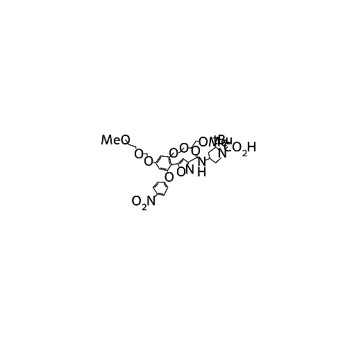 COCCOCOc1cc(OCOCCOC)c(-c2cc(C(=O)NC3CCN(C(=O)O)C(C(C)(C)C)C3)no2)c(Oc2ccc([N+](=O)[O-])cc2)c1